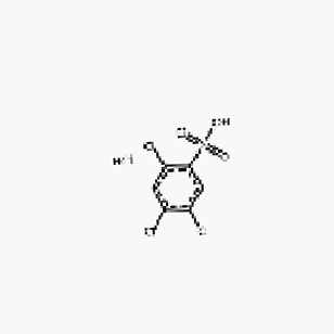 Cl.O=S(=O)(O)c1cc(Cl)c(Cl)cc1Cl